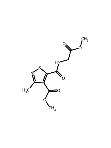 COC(=O)CNC(=O)c1snc(C)c1C(=O)OC